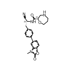 Cn1c(=O)oc2ccc(-c3ccc(C[C@H](C#N)NC(=O)[C@H]4CNCCCO4)cc3)cc21